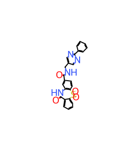 O=C(NCc1cnc(-c2ccccc2)nc1)c1ccc2c(c1)NC(=O)c1ccccc1S2(=O)=O